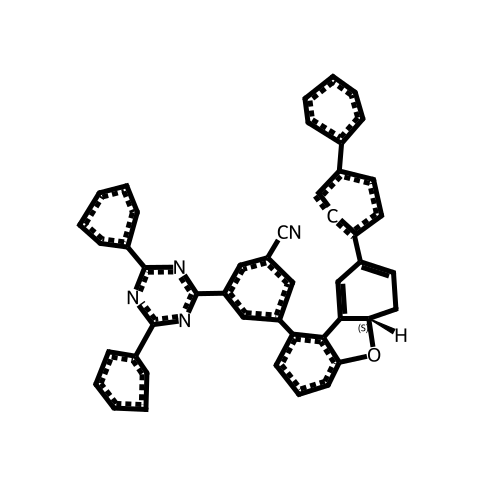 N#Cc1cc(-c2nc(-c3ccccc3)nc(-c3ccccc3)n2)cc(-c2cccc3c2C2=CC(c4ccc(-c5ccccc5)cc4)=CC[C@@H]2O3)c1